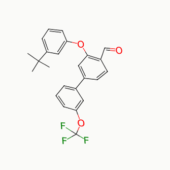 CC(C)(C)c1cccc(Oc2cc(-c3cccc(OC(F)(F)F)c3)ccc2C=O)c1